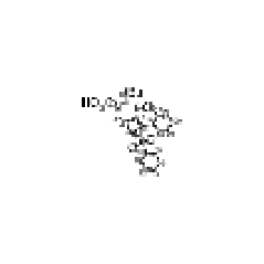 CC(C)(C)CN(Cc1cn(S(=O)(=O)c2ccccc2)c(-c2cccnc2Cl)c1F)C(=O)O